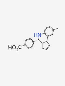 Cc1ccc2c(c1)C1C=CCC1[C@H](c1ccc(C(=O)O)cc1)N2